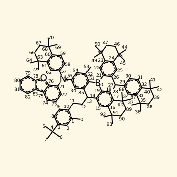 Cc1cc(C(C)(C)C)ccc1CCC1c2cc3c(cc2B(c2cc4c(cc2C(C)c2ccc5c(c2)C(C)(C)CCC5(C)C)C(C)(C)CCC4(C)C)c2c(C)cc(N(c4ccc5c(c4)C(C)(C)CCC5(C)C)c4cccc5c4oc4ccccc45)cc21)C(C)(C)CCC3(C)C